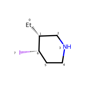 CC[C@@H]1CNCC[C@@H]1I